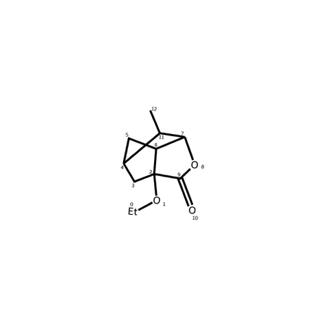 CCOC12CC3CC1C(OC2=O)C3C